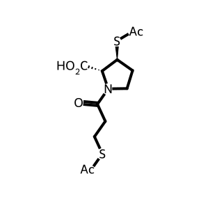 CC(=O)SCCC(=O)N1CC[C@H](SC(C)=O)[C@H]1C(=O)O